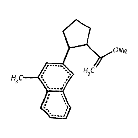 C=C(OC)C1CCCC1c1cc(C)c2ccccc2c1